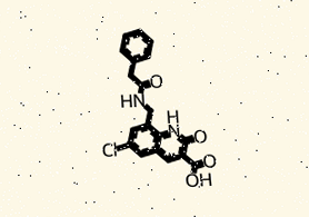 O=C(Cc1ccccc1)NCc1cc(Cl)cc2cc(C(=O)O)c(=O)[nH]c12